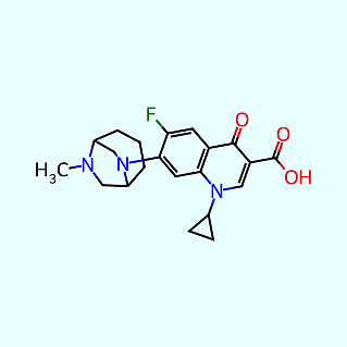 CN1CC2CCCC1CN2c1cc2c(cc1F)c(=O)c(C(=O)O)cn2C1CC1